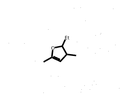 CCC1OC(C)=CC1C